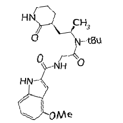 COc1cccc2[nH]c(C(=O)NCC(=O)N([C@H](C)C[C@@H]3CCCNC3=O)C(C)(C)C)cc12